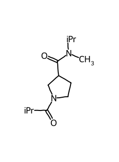 CC(C)C(=O)N1CCC(C(=O)N(C)C(C)C)C1